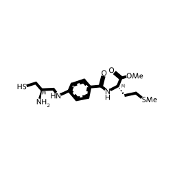 COC(=O)[C@H](CCSC)NC(=O)c1ccc(NC[C@@H](N)CS)cc1